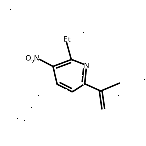 C=C(C)c1ccc([N+](=O)[O-])c(CC)n1